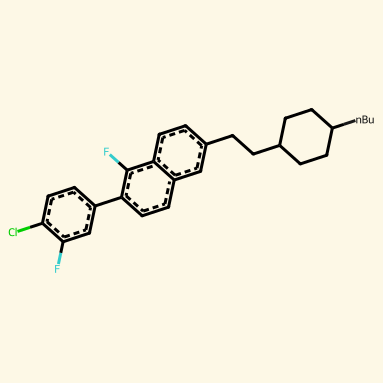 CCCCC1CCC(CCc2ccc3c(F)c(-c4ccc(Cl)c(F)c4)ccc3c2)CC1